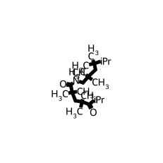 CC(C)C(=O)C(C)(C)CC(C)(C)C(=O)N(C)CC(C)(C)CC(C)(C)C(C)C